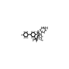 COCN(C1CCNCC1)S(=O)(=O)c1ccc(-c2ccccc2)cc1C(F)(F)F